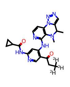 [2H]C([2H])([2H])CC(=O)c1cnc(NC(=O)C2CC2)cc1Nc1nccc2c1N(C)C(C)c1cnnn1-2